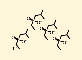 CCP(=O)([O-])CC(C)C.CCP(=O)([O-])CC(C)C.CCP(=O)([O-])CC(C)C.CCP(=O)([O-])CC(C)C.[Ti+4]